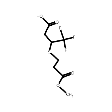 COC(=O)CCSC(CC(=O)O)C(F)(F)F